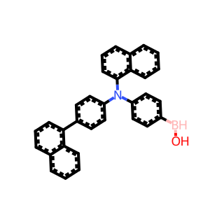 OBc1ccc(N(c2ccc(-c3cccc4ccccc34)cc2)c2cccc3ccccc23)cc1